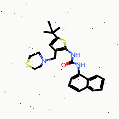 CC(C)(C)c1cc(CN2CCSCC2)c(NC(=O)Nc2cccc3ccccc23)s1